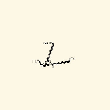 CCCCCCCC/C=C\CCCCCCCC(=O)OCC(C[N+](C)(C)CCP)OC(=O)CCCCCCC/C=C\CCCCCCCC